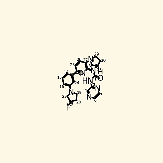 O=C(Nc1cnccn1)N1c2nc(-c3cccc(N4CC[C@@H](F)C4)c3)ccc2N2CC[C@H]1C2